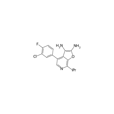 CC(C)c1ncc(-c2ccc(F)c(Cl)c2)c2c(N)c(N)oc12